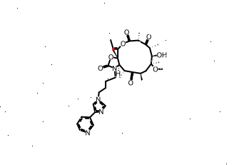 C/C=C1\OC(=O)[C@H](C)C(=O)[C@H](C)[C@@H](O)[C@@](C)(OC)C[C@@H](C)C(=O)[C@H](C)[C@H]2N(CCCCn3cnc(-c4cccnc4)c3)C(=O)O[C@]12C